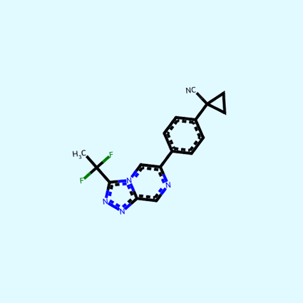 CC(F)(F)c1nnc2cnc(-c3ccc(C4(C#N)CC4)cc3)cn12